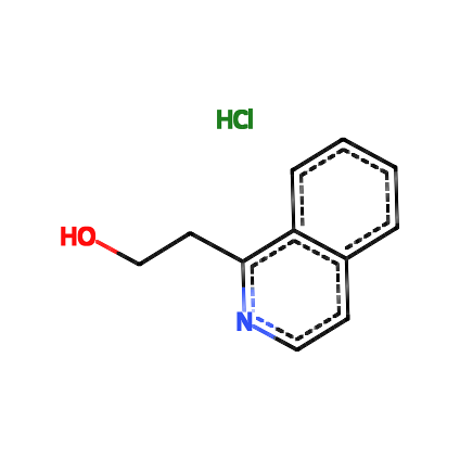 Cl.OCCc1nccc2ccccc12